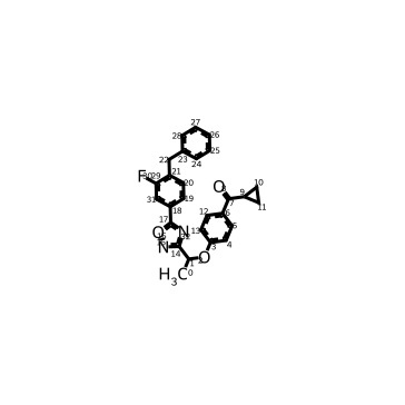 CC(Oc1ccc(C(=O)C2CC2)cc1)c1noc(-c2ccc(Cc3ccccc3)c(F)c2)n1